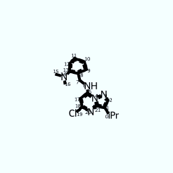 CC(C)c1cnn2c(NCc3ccccc3N(C)C)cc(Cl)nc12